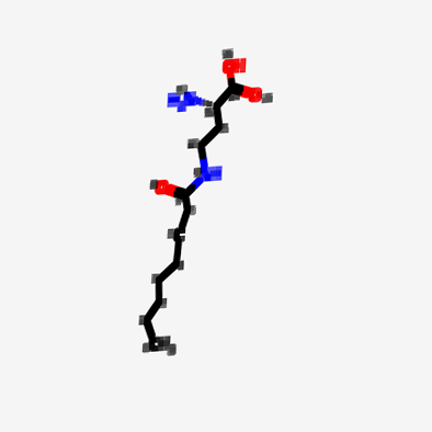 CCCCCCCC(=O)NCC[C@H](N)C(=O)O